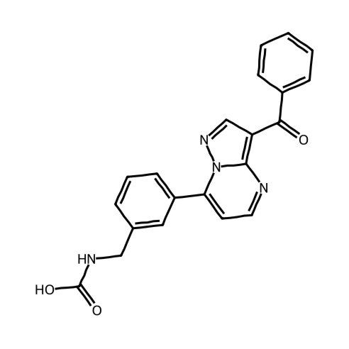 O=C(O)NCc1cccc(-c2ccnc3c(C(=O)c4ccccc4)cnn23)c1